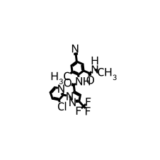 CNC(=O)c1cc(C#N)cc(C)c1NC(=O)c1cc(C(F)(F)F)nn1-c1ncccc1Cl